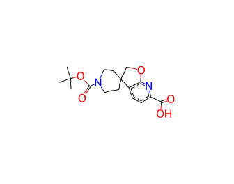 CC(C)(C)OC(=O)N1CCC2(CC1)COc1nc(C(=O)O)ccc12